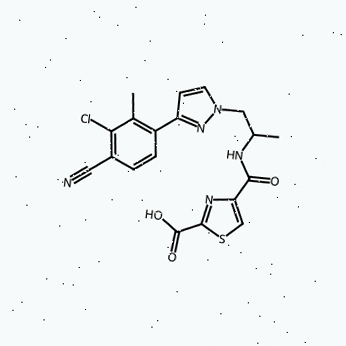 Cc1c(-c2ccn(CC(C)NC(=O)c3csc(C(=O)O)n3)n2)ccc(C#N)c1Cl